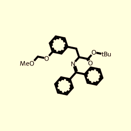 COCOc1cccc(CC(N=C(c2ccccc2)c2ccccc2)C(=O)OC(C)(C)C)c1